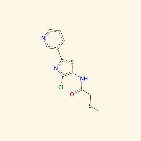 CSCC(=O)Nc1sc(-c2cccnc2)nc1Cl